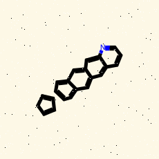 C1=CCC=C1.c1ccc2cc3cc4ncccc4cc3cc2c1